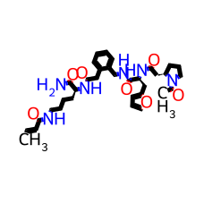 C/C=C/C(=O)NCCCC[C@H](NC(=O)Cc1ccccc1CNC(=O)[C@H](Cc1ccco1)NC(=O)C[C@@H]1CCCN1C(C)=O)C(N)=O